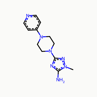 Cn1nc(N2CCN(c3ccncc3)CC2)nc1N